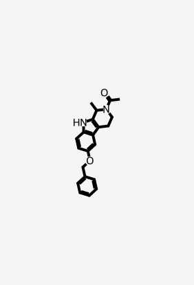 CC(=O)N1CCc2c([nH]c3ccc(OCc4ccccc4)cc23)C1C